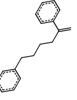 C=C(CCCCc1ccccc1)c1ccccc1